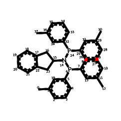 Cc1cccc(P(c2cccc(C)c2)N(C2Cc3ccccc3C2)P(c2cccc(C)c2)c2cccc(C)c2)c1